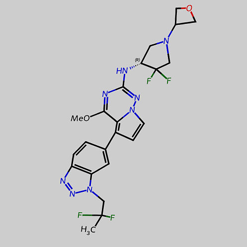 COc1nc(N[C@@H]2CN(C3COC3)CC2(F)F)nn2ccc(-c3ccc4nnn(CC(C)(F)F)c4c3)c12